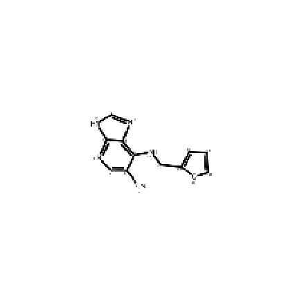 N#Cc1cnc2[nH]cnc2c1NCc1ccco1